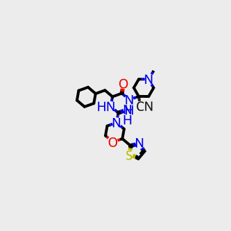 CN1CCC(C#N)(NC(=O)C(CC2CCCCC2)NC(=N)N2CCOC(c3nccs3)C2)CC1